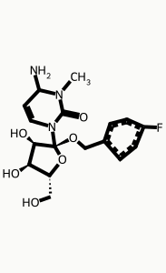 CN1C(=O)N([C@]2(OCc3ccc(F)cc3)O[C@H](CO)[C@@H](O)[C@H]2O)C=CC1N